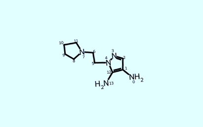 Nc1cnn(CCN2CCCC2)c1N